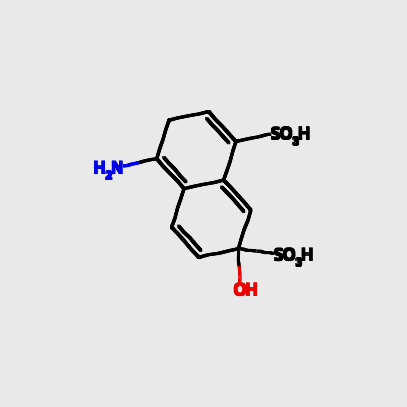 NC1=C2C=CC(O)(S(=O)(=O)O)C=C2C(S(=O)(=O)O)=CC1